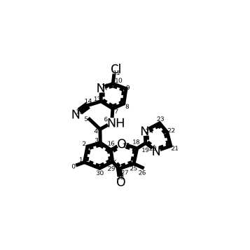 Cc1cc(C(C)Nc2ccc(Cl)nc2C#N)c2oc(-c3ncccn3)c(C)c(=O)c2c1